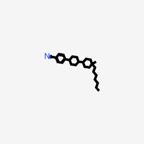 CCCCCCCC1(C)CCC(C2CCC(c3ccc(C#N)cc3)CC2)CC1